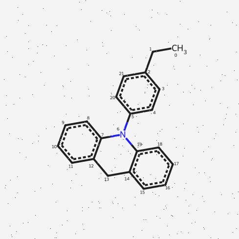 CCc1ccc(N2c3ccccc3Cc3ccccc32)cc1